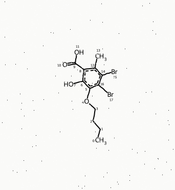 CCCCOc1c(O)c(C(=O)O)c(C)c(Br)c1Br